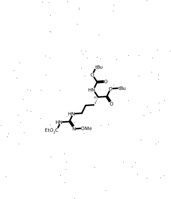 CCOC(=O)NC(=NOC)NCCC[C@H](NC(=O)OC(C)(C)C)C(=O)OC(C)(C)C